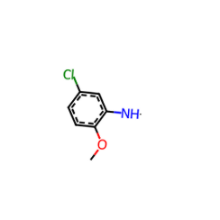 COc1ccc(Cl)cc1[NH]